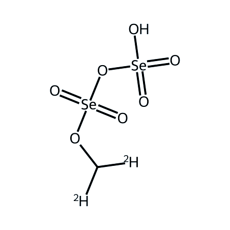 [2H]C([2H])O[Se](=O)(=O)O[Se](=O)(=O)O